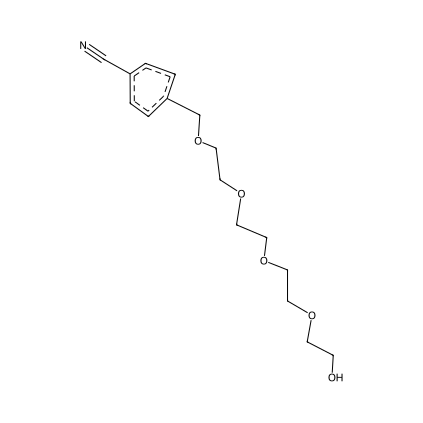 N#Cc1ccc(COCCOCCOCCOCCO)cc1